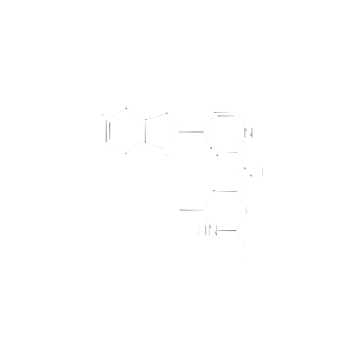 CC1CC(Nc2nccc(-c3cc4ccccc4s3)n2)CC(C)N1